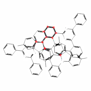 Cc1ccc2c(c1)c1cc(C)ccc1n2-c1ccccc1-c1ccc(-c2ccccc2-c2nc(-c3ccccc3)nc(-c3ccccc3)n2)c2c(-c3ccccc3-n3c4ccc(C)cc4c4cc(C)ccc43)cc(-c3ccccc3-c3cc(-c4ccccc4)nc(-c4ccccc4)n3)cc12